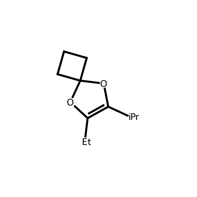 CCC1=C(C(C)C)OC2(CCC2)O1